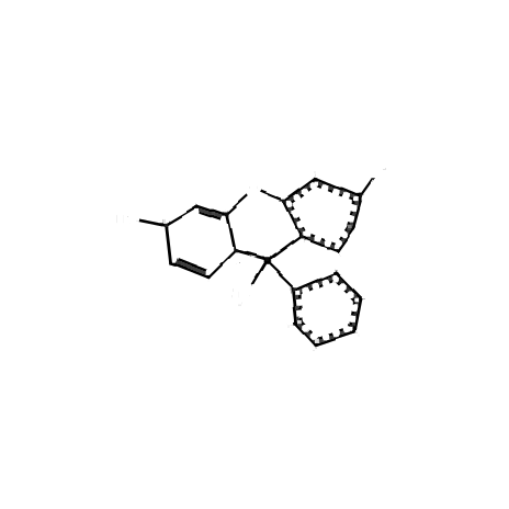 Oc1ccc2c(c1)OC1=CC(O)C=CC1C2(O)c1ccccc1